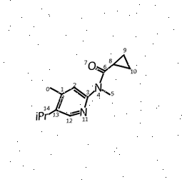 Cc1cc(N(C)C(=O)C2CC2)ncc1C(C)C